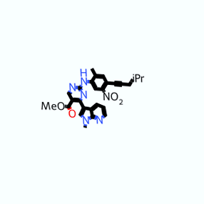 COC(=O)c1cnc(Nc2cc([N+](=O)[O-])c(C#CCC(C)C)cc2C)nc1-c1cn(C)c2ncccc12